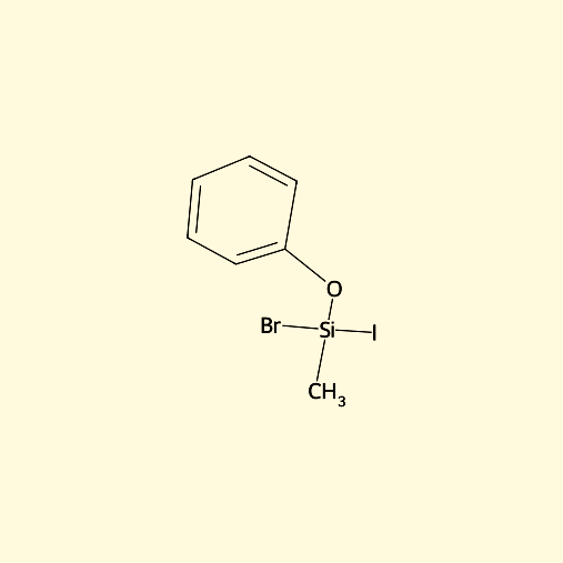 C[Si](Br)(I)Oc1ccccc1